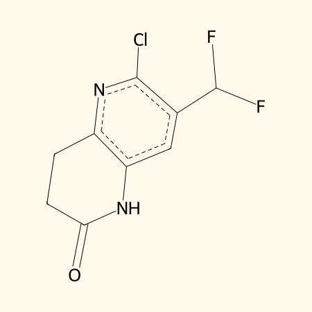 O=C1CCc2nc(Cl)c(C(F)F)cc2N1